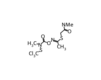 CNC(=O)CSC(C)=NOC(=O)N(C)SC(Cl)(Cl)Cl